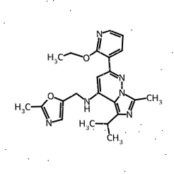 CCOc1ncccc1-c1cc(NCc2cnc(C)o2)c2c(C(C)C)nc(C)n2n1